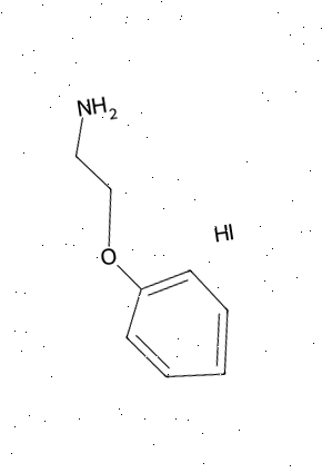 I.NCCOc1ccccc1